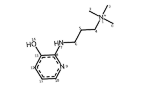 C[N+](C)(C)CCCNc1ncccc1O